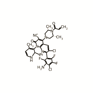 C=CC(=O)N1[C@H](C)CN(c2c(C#N)c(=O)n(C3=C(C)C=CNC3C(C)C)c3nc(-c4c(F)c(N)c(Cl)c(F)c4F)c(Cl)cc23)C[C@@H]1C